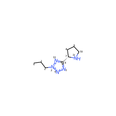 CCCn1nnc([C@@H]2CCCN2)n1